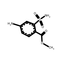 COC(=O)c1ccc(N)cc1S(N)(=O)=O